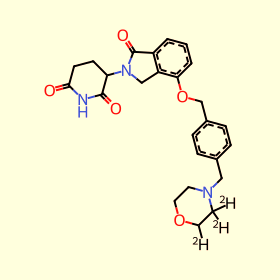 [2H]C1OCCN(Cc2ccc(COc3cccc4c3CN(C3CCC(=O)NC3=O)C4=O)cc2)C1([2H])[2H]